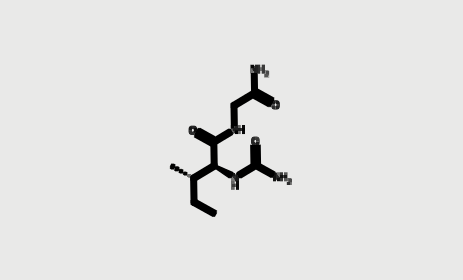 CC[C@H](C)[C@H](NC(N)=O)C(=O)NCC(N)=O